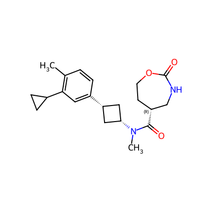 Cc1ccc([C@H]2C[C@@H](N(C)C(=O)[C@@H]3CCOC(=O)NC3)C2)cc1C1CC1